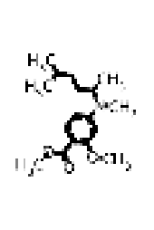 COC(=O)c1ccc(N(C)C(C)CCC(C)C)cc1OC